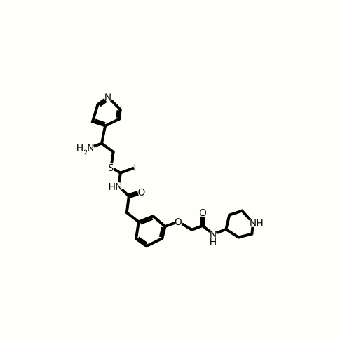 NC(CSC(I)NC(=O)Cc1cccc(OCC(=O)NC2CCNCC2)c1)c1ccncc1